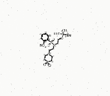 CC(C)(C)[Si](C)(C)OCCN(CCN1CCS(=O)(=O)CC1)S(=O)(=O)c1ccccc1[N+](=O)[O-]